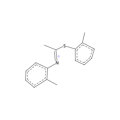 C/C(=N\c1ccccc1C)Sc1ccccc1C